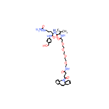 CC(C)[C@H](NC(=O)CCOCCOCCOCCOCCNC(=O)CCC(=O)N1Cc2ccccc2C#Cc2ccccc21)C(=O)NC(CCCNC(N)=O)C(=O)Nc1ccc(CO)cc1